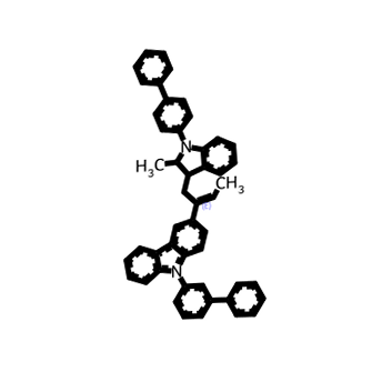 C/C=C(\CC1c2ccccc2N(c2ccc(-c3ccccc3)cc2)C1C)c1ccc2c(c1)c1ccccc1n2-c1cccc(-c2ccccc2)c1